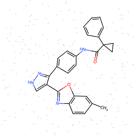 Cc1ccc2nc(-c3c[nH]nc3-c3ccc(NC(=O)C4(c5ccccc5)CC4)cc3)oc2c1